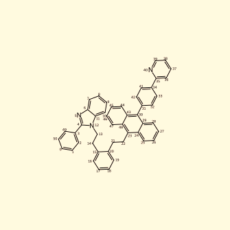 c1ccc(-c2nc3ccccc3n2CCc2ccccc2CCc2c3ccccc3c(-c3ccc(-c4ccccn4)cc3)c3ccccc23)cc1